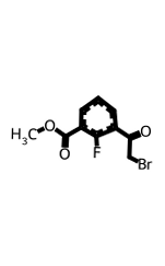 COC(=O)c1cccc(C(=O)CBr)c1F